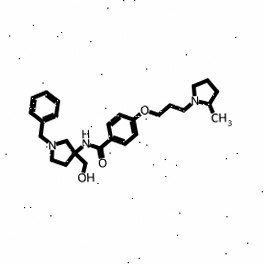 CC1CCCN1CCCOc1ccc(C(=O)NC2(CO)CCN(Cc3ccccc3)C2)cc1